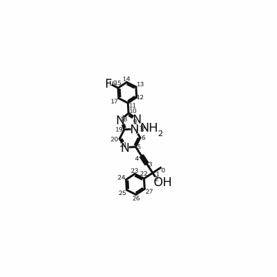 CC(O)(C#CC1=C[N+]2(N)N=C(c3cccc(F)c3)N=C2C=N1)c1ccccc1